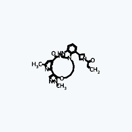 C=CC(=O)N1CC(c2cccc3c2N2CCCCCOc4c(cnn4C)-c4cc(cc(C)n4)C(=O)/N=C/2N3)C1